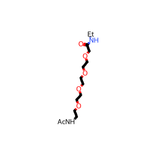 CCNC(=O)COCCOCCOCCOCCNC(C)=O